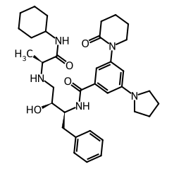 C[C@H](NC[C@H](O)[C@H](Cc1ccccc1)NC(=O)c1cc(N2CCCC2)cc(N2CCCCC2=O)c1)C(=O)NC1CCCCC1